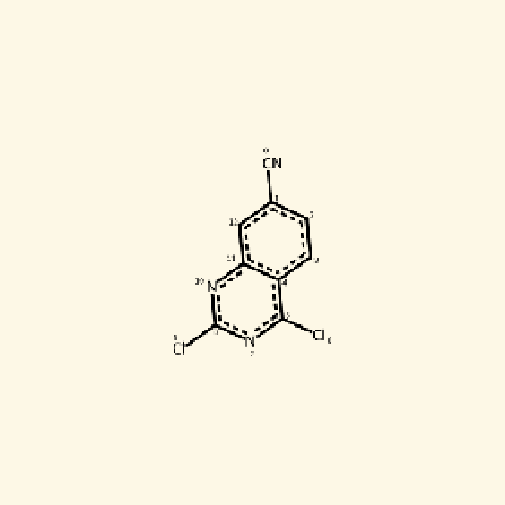 N#Cc1ccc2c(Cl)nc(Cl)nc2c1